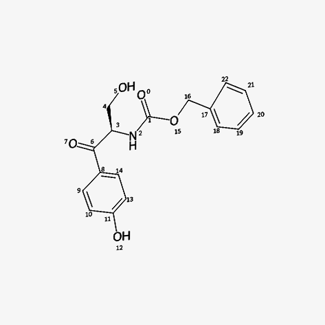 O=C(N[C@H](CO)C(=O)c1ccc(O)cc1)OCc1ccccc1